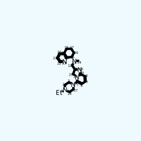 CCN1CCN(C2=CC=CC3=NC(CN(C)[C@H]4CCCc5cccnc54)CN23)CC1